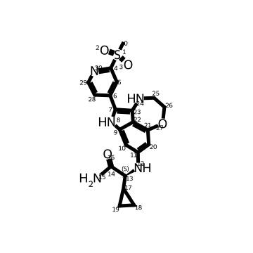 CS(=O)(=O)c1cc(-c2[nH]c3cc(N[C@H](C(N)=O)C4CC4)cc4c3c2NCCO4)ccn1